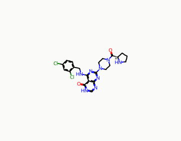 O=C([C@H]1CCCN1)N1CCN(c2nc(NCc3ccc(Cl)cc3Cl)c3c(=O)[nH]cnc3n2)CC1